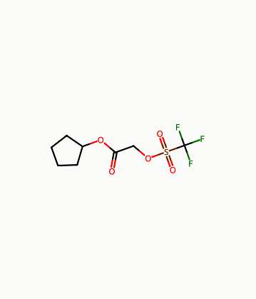 O=C(COS(=O)(=O)C(F)(F)F)OC1CCCC1